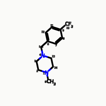 CN1CCN([CH]c2ccc(C(F)(F)F)cc2)CC1